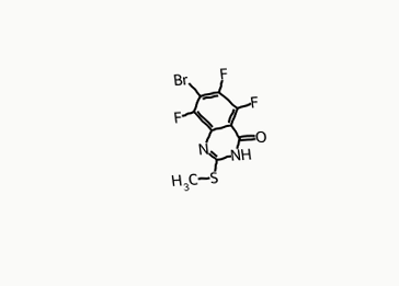 CSc1nc2c(F)c(Br)c(F)c(F)c2c(=O)[nH]1